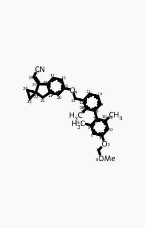 COCOc1cc(C)c(-c2cccc(COc3ccc4c(c3)CC3(CC3)C4=CC#N)c2C)c(C)c1